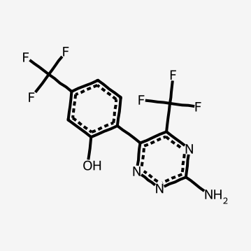 Nc1nnc(-c2ccc(C(F)(F)F)cc2O)c(C(F)(F)F)n1